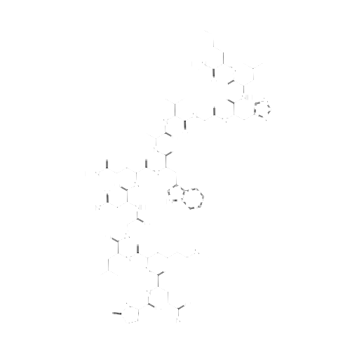 CSCCC(NC(=O)C(CC(C)C)NC(=O)C(Cc1cnc[nH]1)NC(=O)CNC(=O)C(NC(=O)C(C)NC(=O)C(Cc1c[nH]c2ccccc12)NC(=O)C(CCC(N)=O)NC(=O)C(CC(N)=O)NC(=O)CNC(=O)C(CC(C)C)NC(=O)C(CCCCN)NC(=O)C(CCC(N)=O)NC(=O)C1CCC(=O)N1)C(C)C)C(N)=O